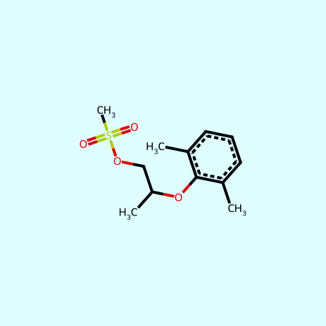 Cc1cccc(C)c1OC(C)COS(C)(=O)=O